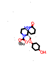 CC(C)(C)OC(=O)N1CCC[C@@]2(CCCC(=O)N2)[C@@H]1COC1CCC(O)CC1